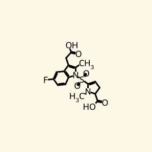 Cc1c(CC(=O)O)c2cc(F)ccc2n1S(=O)(=O)C1=CCC(C(=O)O)N1C